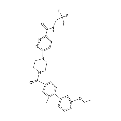 CCOc1cccc(-c2ccc(C(=O)N3CCN(c4ccc(C(=O)NCC(F)(F)F)nn4)CC3)cc2C)c1